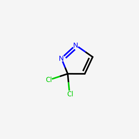 ClC1(Cl)C=CN=N1